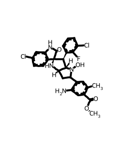 COC(=O)c1cc(N)c(C2C[C@@H]3N[C@@]4(C(=O)Nc5cc(Cl)ccc54)[C@@H](c4cccc(Cl)c4F)[C@@H]3N2O)cc1C